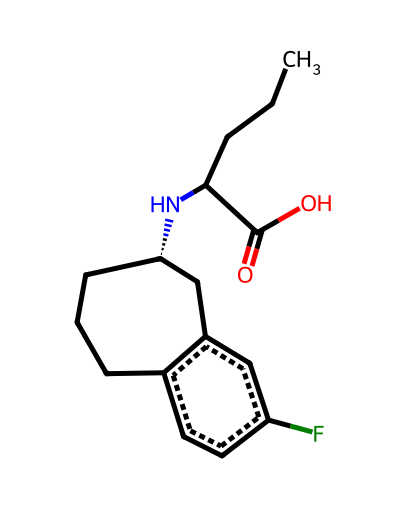 CCCC(N[C@H]1CCCc2ccc(F)cc2C1)C(=O)O